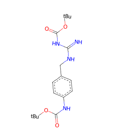 CC(C)(C)OC(=O)NC(=N)NCc1ccc(NC(=O)OC(C)(C)C)cc1